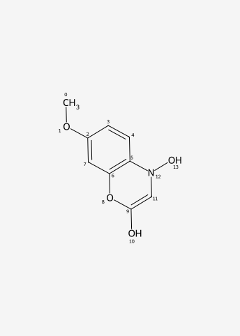 COc1ccc2c(c1)OC(O)=CN2O